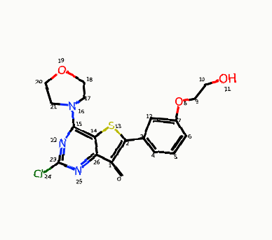 Cc1c(-c2cccc(OCCO)c2)sc2c(N3CCOCC3)nc(Cl)nc12